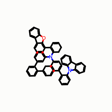 C1=CCCC(c2ccccc2-c2cccc(N(C3=C(c4cccc5c4oc4ccccc45)C=CCC3)c3ccc(-c4ccccc4-n4c5ccccc5c5ccccc54)cc3)c2)=C1